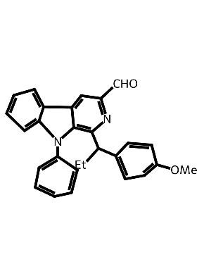 CCC(c1ccc(OC)cc1)c1nc(C=O)cc2c3ccccc3n(-c3ccccc3)c12